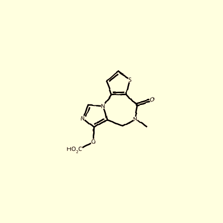 CN1Cc2c(OC(=O)O)ncn2-c2ccsc2C1=O